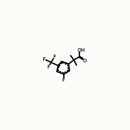 CC(C)(C(=O)O)c1cc(F)cc(C(F)(F)F)c1